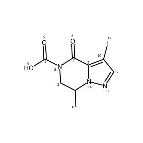 CC1CN(C(=O)O)C(=O)c2c(I)cnn21